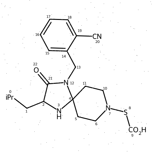 CC(C)CC1NC2(CCN(SC(=O)O)CC2)N(Cc2ccccc2C#N)C1=O